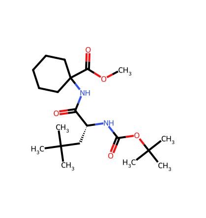 COC(=O)C1(NC(=O)[C@@H](CC(C)(C)C)NC(=O)OC(C)(C)C)CCCCC1